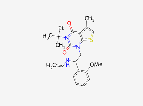 C=CNC(Cn1c(=O)n(C(C)(C)CC)c(=O)c2c(C)csc21)c1ccccc1OC